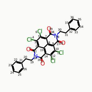 O=C1c2c(Cl)c(Cl)c3c4c(c(Cl)c(Cl)c(c24)C(=O)N1CCc1ccccc1)C(=O)N(CCc1ccccc1)C3=O